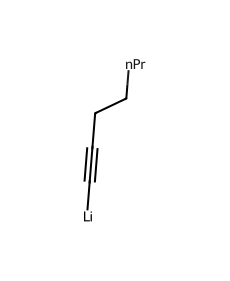 [Li][C]#CCCCCC